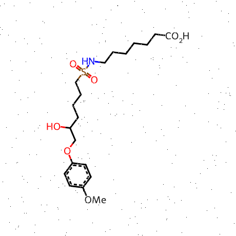 COc1ccc(OCC(O)CCCCS(=O)(=O)NCCCCCCC(=O)O)cc1